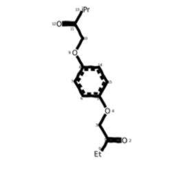 CCC(=O)COc1ccc(OCC(=O)C(C)C)cc1